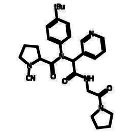 CC(C)(C)c1ccc(N(C(=O)C2CCCN2C#N)C(C(=O)NCC(=O)N2CCCC2)c2cccnc2)cc1